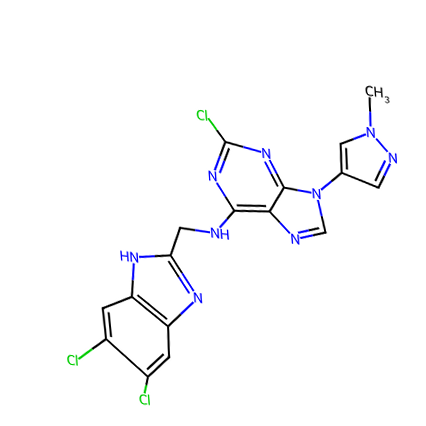 Cn1cc(-n2cnc3c(NCc4nc5cc(Cl)c(Cl)cc5[nH]4)nc(Cl)nc32)cn1